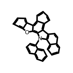 c1ccc2c(-n3c4c5ccccc5ccc4c4c5ccccc5c5c6ccccc6oc5c43)cccc2c1